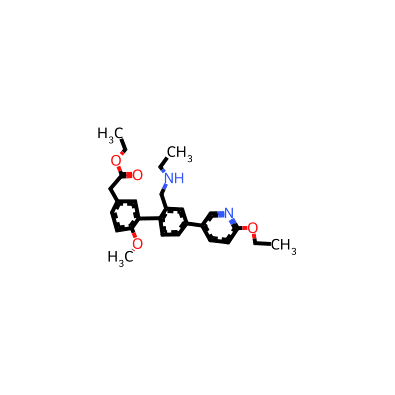 CCNCc1cc(-c2ccc(OCC)nc2)ccc1-c1cc(CC(=O)OCC)ccc1OC